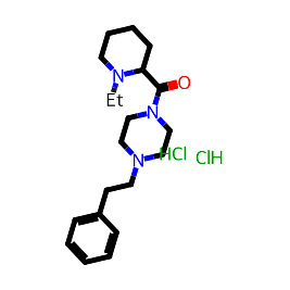 CCN1CCCCC1C(=O)N1CCN(CCc2ccccc2)CC1.Cl.Cl